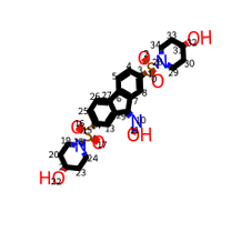 O=S(=O)(c1ccc2c(c1)C(=NO)c1cc(S(=O)(=O)N3CCC(O)CC3)ccc1-2)N1CCC(O)CC1